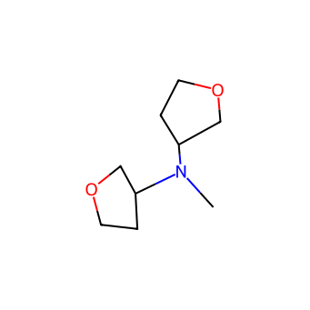 CN(C1CCOC1)C1CCOC1